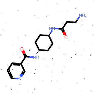 NCCC(=O)N[C@H]1CC[C@H](NC(=O)c2cccnc2)CC1